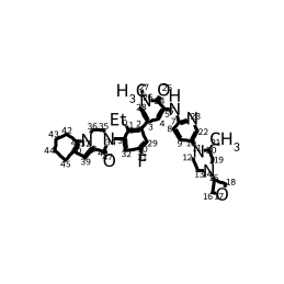 CCc1c(-c2cc(Nc3ccc(N4CCN(C5COC5)C[C@@H]4C)cn3)c(=O)n(C)c2)cc(F)cc1N1CCn2c(cc3c2CCCC3)C1=O